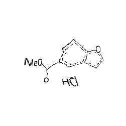 COC(=O)c1ccc2occc2c1.Cl